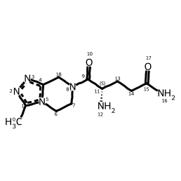 Cc1nnc2n1CCN(C(=O)[C@@H](N)CCC(N)=O)C2